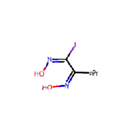 CCCC(=N/O)/C(I)=N\O